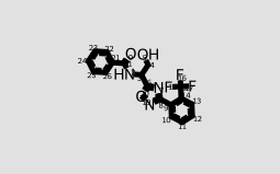 O=C(NC(CO)c1nc(-c2ccccc2C(F)(F)F)no1)c1ccccc1